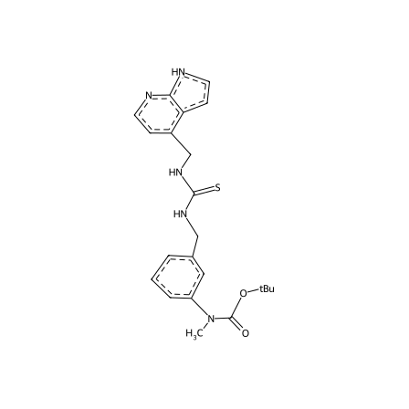 CN(C(=O)OC(C)(C)C)c1cccc(CNC(=S)NCc2ccnc3[nH]ccc23)c1